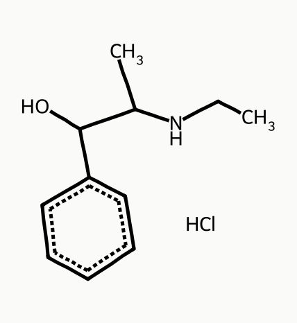 CCNC(C)C(O)c1ccccc1.Cl